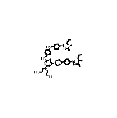 C=C(N=Nc1ccc(N2CCN(c3nc(Nc4ccc(Nc5ccc(N=NC(=C)N(C)/C=C\C)cc5)cc4)nc(N(CCO)CCO)n3)CC2)cc1)C(C)/C=C\C